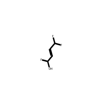 OC(F)C=CC(F)F